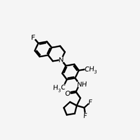 Cc1cc(N2CCc3cc(F)ccc3C2)cc(C)c1NC(=O)CC1(C(F)F)CCCC1